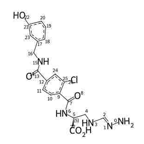 NN=CNC[C@H](NC(=O)c1ccc(C(=O)NCc2cccc(O)c2)cc1Cl)C(=O)O